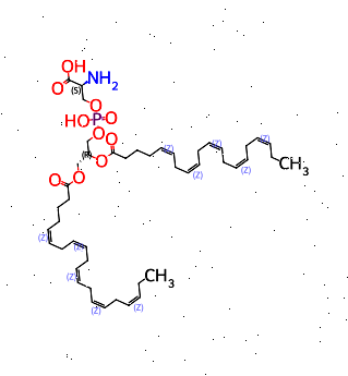 CC/C=C\C/C=C\C/C=C\C/C=C\C/C=C\CCCC(=O)OC[C@H](COP(=O)(O)OC[C@H](N)C(=O)O)OC(=O)CCC/C=C\C/C=C\C/C=C\C/C=C\C/C=C\CC